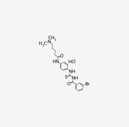 CN(C)CCCCC(=O)Nc1ccc(NC(=S)NC(=O)c2cccc(Br)c2)cc1.Cl